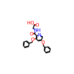 O=C(O)CNC(=O)c1ncc(OCc2ccccc2)cc1OCc1ccccc1